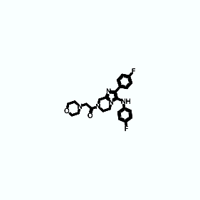 O=C(CN1CCOCC1)N1CCn2c(nc(-c3ccc(F)cc3)c2Nc2ccc(F)cc2)C1